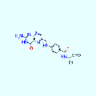 CC[C@@H](C=O)NC(=O)c1ccc(NCc2cnc3nc(N)[nH]c(=O)c3n2)cc1